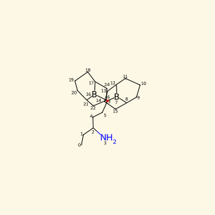 CCC(N)CCC(B1C2CCCC1CCC2)B1C2CCCC1CCC2